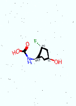 O=C(O)N[C@@H]1C[C@H](O)C[C@H]1F